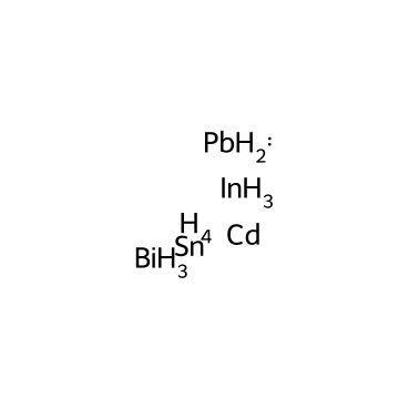 [BiH3].[Cd].[InH3].[PbH2].[SnH4]